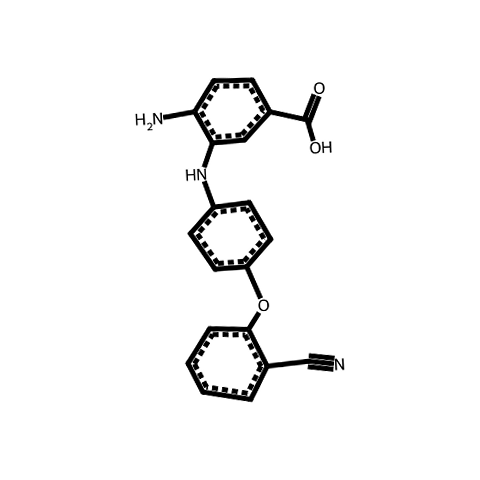 N#Cc1ccccc1Oc1ccc(Nc2cc(C(=O)O)ccc2N)cc1